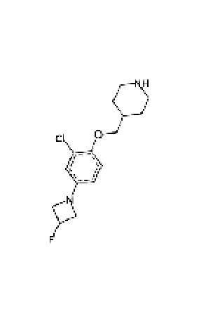 FC1CN(c2ccc(OCC3CCNCC3)c(Cl)c2)C1